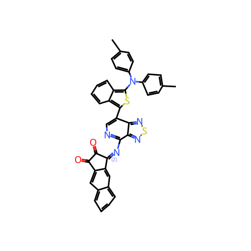 Cc1ccc(N(c2ccc(C)cc2)c2sc(-c3cnc(/N=c4\c(=O)c(=O)c5cc6ccccc6cc45)c4nsnc34)c3ccccc23)cc1